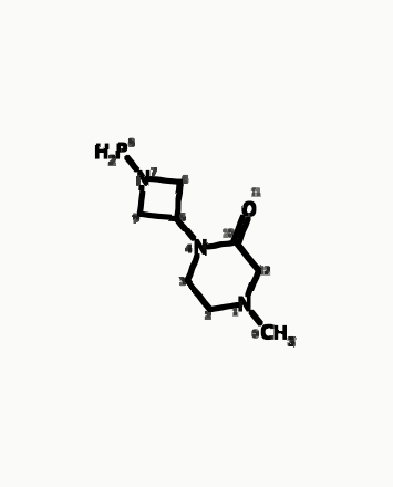 CN1CCN(C2CN(P)C2)C(=O)C1